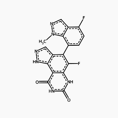 Cn1ncc2c(F)ccc(-c3c(F)c4[nH]c(=O)[nH]c(=O)c4c4[nH]ncc34)c21